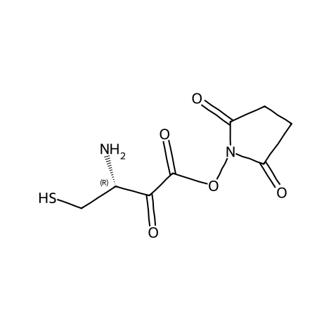 N[C@@H](CS)C(=O)C(=O)ON1C(=O)CCC1=O